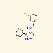 Clc1cccc(CN[C@@H]2CCN[C@H]2c2ccccc2)c1